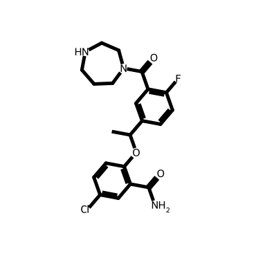 CC(Oc1ccc(Cl)cc1C(N)=O)c1ccc(F)c(C(=O)N2CCCNCC2)c1